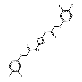 O=C(COc1ccc(F)c(F)c1)NC1=C=C(NC(=O)COc2ccc(Cl)c(F)c2)C1